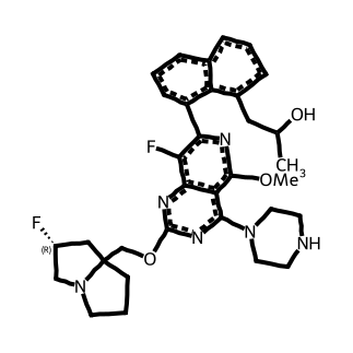 COc1nc(-c2cccc3cccc(CC(C)O)c23)c(F)c2nc(OCC34CCCN3C[C@H](F)C4)nc(N3CCNCC3)c12